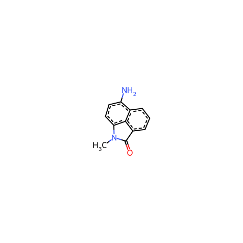 CN1C(=O)c2cccc3c(N)ccc1c23